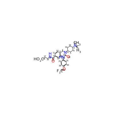 CN(C)C1CCC(N(Cc2ccc(C(=O)NCCC(=O)O)cc2)C(=O)Nc2ccc(OC(F)(F)F)cc2)CC1